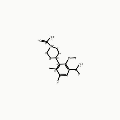 COc1c(C(C)O)cc(Cl)c(C)c1C1CCN(C(=O)O)CC1